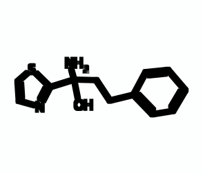 NC(O)(CCc1ccccc1)c1nccs1